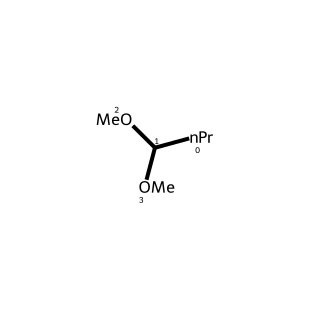 [CH2]CCC(OC)OC